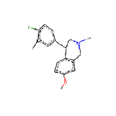 COc1ccc2c(c1)CN(C)CC2c1ccc(F)c(C)c1